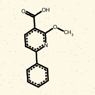 COc1nc(-c2ccccc2)ccc1C(=O)O